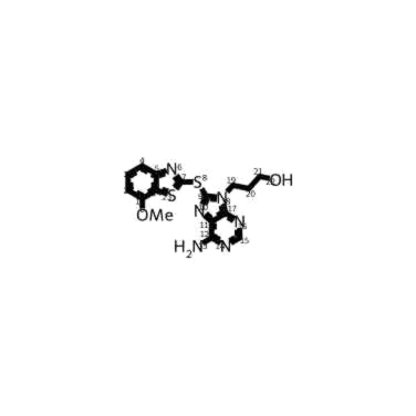 COc1cccc2nc(Sc3nc4c(N)ncnc4n3CCCO)sc12